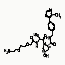 Cc1ncsc1-c1ccc(CNC(=O)[C@@H]2C[C@@H](O)CN2C(=O)C(NC(=O)COCCOCCN)C(C)(C)C)cc1